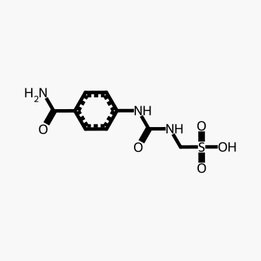 NC(=O)c1ccc(NC(=O)NCS(=O)(=O)O)cc1